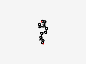 c1cc(-c2cccc(-c3ccc4oc5c6ccccc6ccc5c4c3)c2)cc(-c2cccc(-c3nc(-c4cccc5ccccc45)nc(-c4cccc5ccccc45)n3)c2)c1